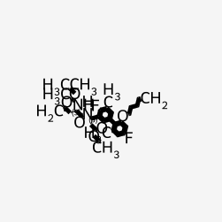 C=CCCCOc1cc(F)cc(C)c1-c1cc(C)c(F)c([C@H](CC(=O)OCC)NC(=O)[C@H](CC=C)NC(=O)OC(C)(C)C)c1